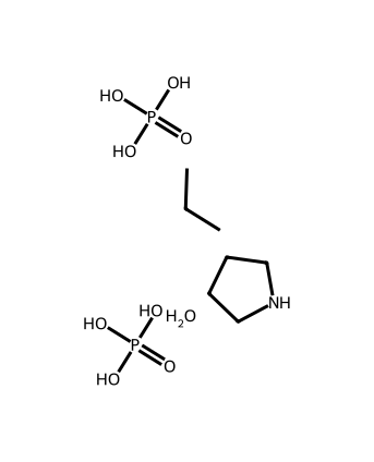 C1CCNC1.CCC.O.O=P(O)(O)O.O=P(O)(O)O